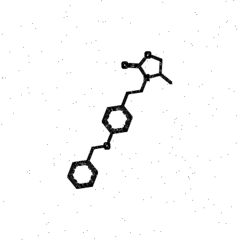 CC1COC(=O)N1CCc1ccc(OCc2ccccc2)cc1